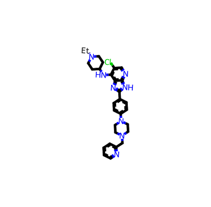 CCN1CCC(Nc2c(Cl)cnc3[nH]c(-c4ccc(N5CCN(Cc6ccccn6)CC5)cc4)nc23)CC1